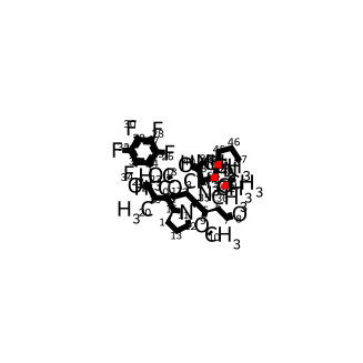 CC[C@H](C)[C@@]([C@@H](CC=O)OC)(N1CCC[C@H]1[C@H](OC)[C@@H](C)C(=O)Oc1c(F)c(F)c(F)c(F)c1F)N(C)[C@@](C(N)=O)(C(=O)[C@@]1(C)CCCN1C)C(C)C